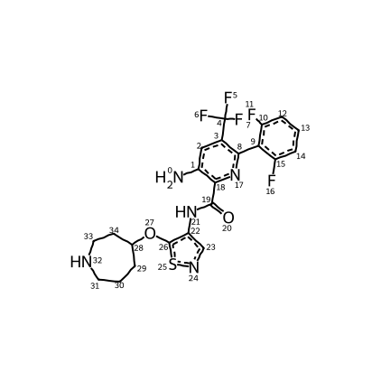 Nc1cc(C(F)(F)F)c(-c2c(F)cccc2F)nc1C(=O)Nc1cnsc1OC1CCCNCC1